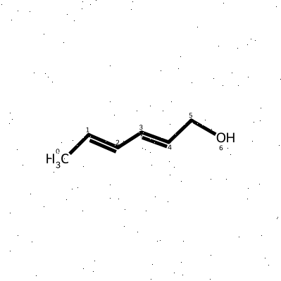 CC=C[C]=CCO